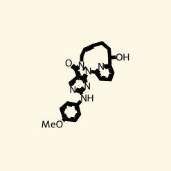 COc1ccc(Nc2ncc3c(=O)n4n(c3n2)-c2cccc(n2)C(O)CC/C=C\C4)cc1